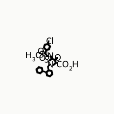 CS(=O)(=O)N(c1ccc(Cl)cc1)c1nc2c(=O)c(C(=O)O)cn(Cc3ccccc3-c3ccccc3)c2s1